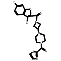 O=C(c1nccs1)N1CCN(C2CN(C(=O)c3sc4cc(F)ccc4c3Cl)C2)CC1